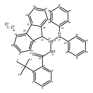 CC(C)(C)c1ccccc1C(=O)[NH][Hf+2]([CH]1c2ccccc2-c2ccccc21)[SiH](c1ccccc1)c1ccccc1.[Cl-].[Cl-]